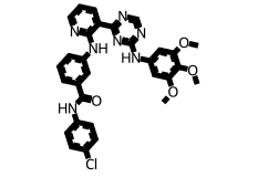 COc1cc(Nc2ncnc(-c3cccnc3Nc3cccc(C(=O)Nc4ccc(Cl)cc4)c3)n2)cc(OC)c1OC